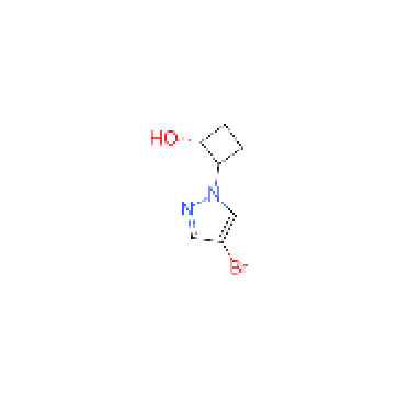 O[C@@H]1CCC1n1cc(Br)cn1